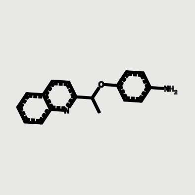 CC(Oc1ccc(N)cc1)c1ccc2ccccc2n1